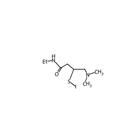 CCNC(=O)CC(CN(C)C)SI